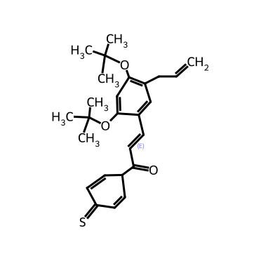 C=CCc1cc(/C=C/C(=O)C2C=CC(=S)C=C2)c(OC(C)(C)C)cc1OC(C)(C)C